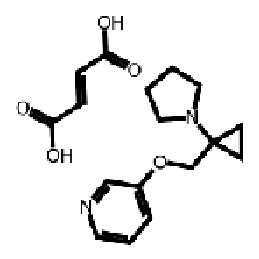 O=C(O)C=CC(=O)O.c1cncc(OCC2(N3CCCC3)CC2)c1